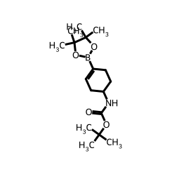 CC(C)(C)OC(=O)NC1CC=C(B2OC(C)(C)C(C)(C)O2)CC1